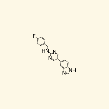 Fc1ccc(CNc2ncc(-c3ccc4[nH]cnc4c3)cn2)cc1